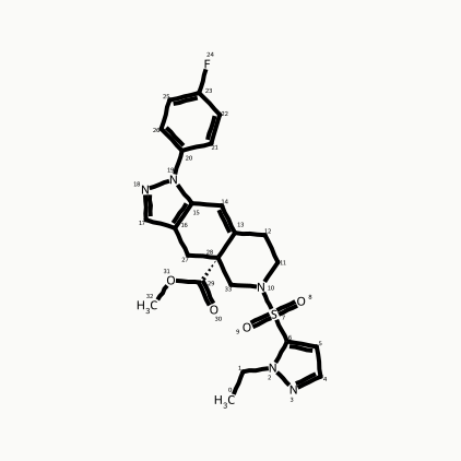 CCn1nccc1S(=O)(=O)N1CCC2=Cc3c(cnn3-c3ccc(F)cc3)C[C@]2(C(=O)OC)C1